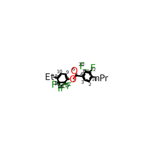 CCCc1ccc(C(=O)OC2=CC=C(CC)C(F)(F)C2(F)F)c(F)c1F